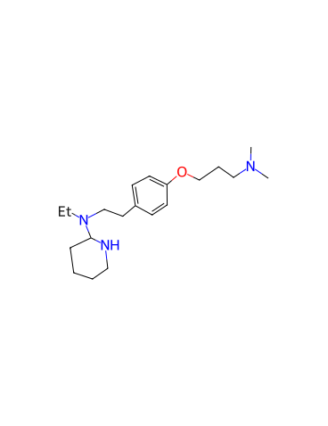 CCN(CCc1ccc(OCCCN(C)C)cc1)C1CCCCN1